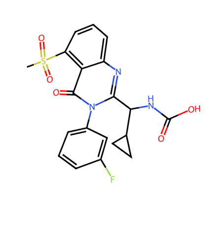 CS(=O)(=O)c1cccc2nc(C(NC(=O)O)C3CC3)n(-c3cccc(F)c3)c(=O)c12